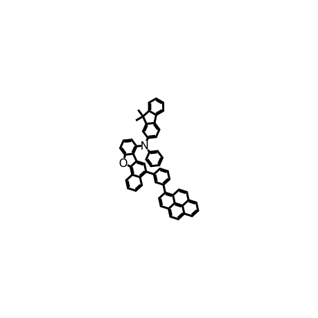 CC1(C)c2ccccc2-c2ccc(N(c3ccccc3)c3cccc4oc5c6ccccc6c(-c6cccc(-c7ccc8ccc9cccc%10ccc7c8c9%10)c6)cc5c34)cc21